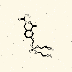 C=CCOP(=O)(OCC=C)OCc1ccc(COC(C)=O)c(C(=O)Cl)c1